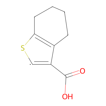 O=C(O)c1[c]sc2c1CCCC2